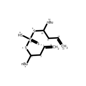 C=CCC(CCCC)SP(=S)(S)SC(CC=C)CCCC